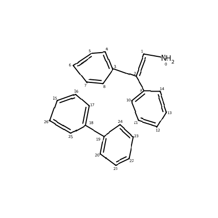 NC=C(c1ccccc1)c1ccccc1.c1ccc(-c2ccccc2)cc1